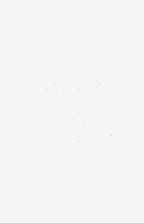 C=CC(=O)N1CCN(c2nc(=O)n3c4nc(c(Cl)cc24)-c2c(F)cccc2OC/C=C\COc2ccnc(C(C)C)c2-3)[C@@H]2C[C@@H]21